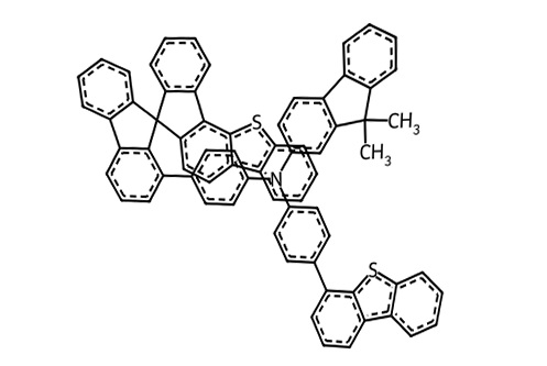 CC1(C)c2ccccc2-c2ccc(N(c3ccc(-c4cccc5c4C4(c6ccccc6-5)c5ccccc5-c5c4ccc4c5sc5ccccc54)cc3)c3ccc(-c4cccc5c4sc4ccccc45)cc3)cc21